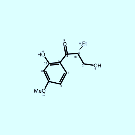 CC[C@H](CO)C(=O)c1ccc(OC)cc1O